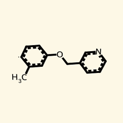 Cc1[c]ccc(OCc2cccnc2)c1